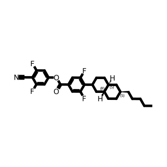 CCCCC[C@H]1CC[C@@H]2CC(c3c(F)cc(C(=O)Oc4cc(F)c(C#N)c(F)c4)cc3F)CC[C@H]2C1